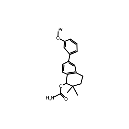 CC(C)Oc1cccc(-c2ccc3c(c2)CCC(C)(C)C3OC(N)=O)c1